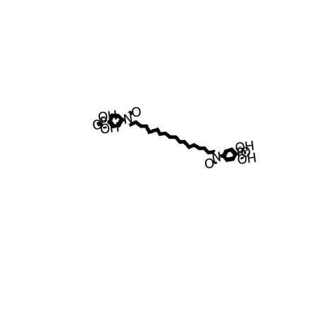 O=CN(CCCCCCCCCCCCCCCCCCN(C=O)c1ccc(P(=O)(O)O)cc1)c1ccc(P(=O)(O)O)cc1